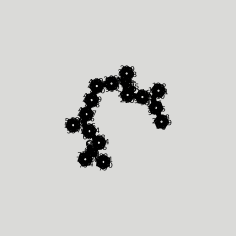 c1ccc(-c2ccc(N(c3ccccc3)c3ccc(-c4cccc5c4sc4c6ccccc6n(-c6ccc(-c7cccc(-c8ccc(-c9ccc(N(c%10ccccc%10)c%10ccc(-c%11cccc%12c%11sc%11c%13ccccc%13n(-c%13ccccc%13)c%12%11)cc%10)cc9)cc8)c7)cc6)c54)cc3)cc2)cc1